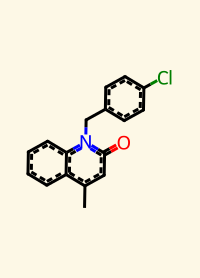 Cc1cc(=O)n(Cc2ccc(Cl)cc2)c2ccccc12